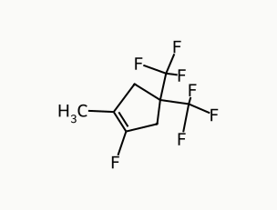 CC1=C(F)CC(C(F)(F)F)(C(F)(F)F)C1